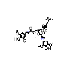 COc1cc(/C=C/C(=O)OC[C@H](COP(=O)([O-])OCC[N+](C)(C)C)OC(=O)/C=C/c2cc(OC)c(O)c(OC)c2)cc(OC)c1O